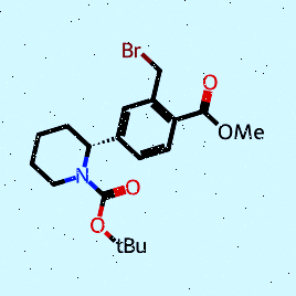 COC(=O)c1ccc([C@H]2CCCCN2C(=O)OC(C)(C)C)cc1CBr